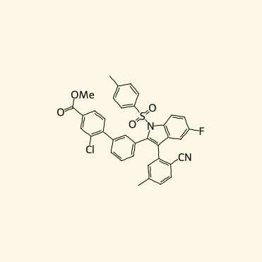 COC(=O)c1ccc(-c2cccc(-c3c(-c4cc(C)ccc4C#N)c4cc(F)ccc4n3S(=O)(=O)c3ccc(C)cc3)c2)c(Cl)c1